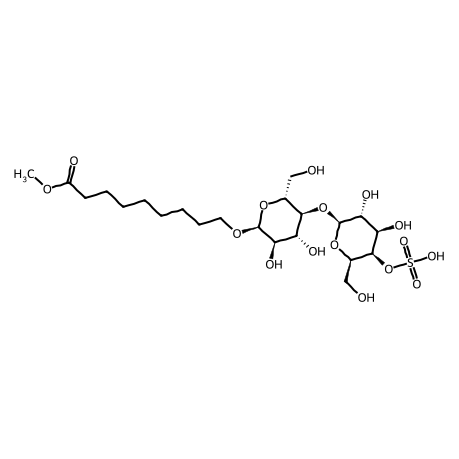 COC(=O)CCCCCCCCO[C@H]1O[C@H](CO)[C@@H](O[C@@H]2O[C@H](CO)[C@H](OS(=O)(=O)O)[C@H](O)[C@H]2O)[C@H](O)[C@H]1O